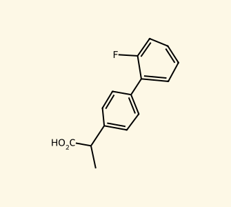 CC(C(=O)O)c1ccc(-c2ccccc2F)cc1